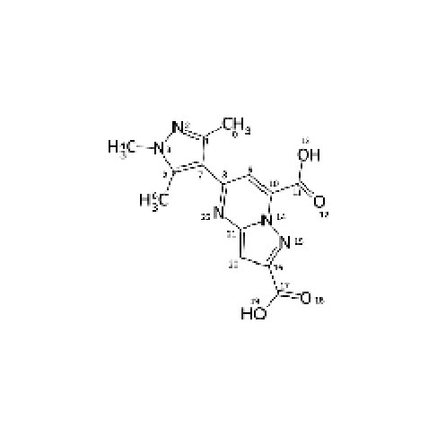 Cc1nn(C)c(C)c1-c1cc(C(=O)O)n2nc(C(=O)O)cc2n1